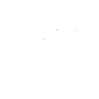 CCC(CC)(OC(C)=O)c1ccc2c(c1)cc(C)n2C(C)=O